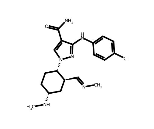 CN=C[C@H]1C[C@H](NC)CC[C@@H]1n1cc(C(N)=O)c(Nc2ccc(Cl)cc2)n1